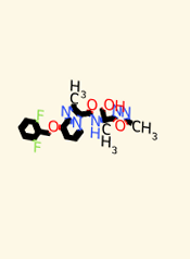 Cc1nnc(C(C)(CO)NC(=O)c2c(C)nc3c(OCc4c(F)cccc4F)cccn23)o1